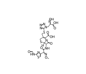 CON=C(C(=O)NC1C(=O)N2C(C(=O)O)=C(CSc3nnnn3CC(=NO)C(=O)O)CS[C@@H]12)c1csc(NC=O)n1